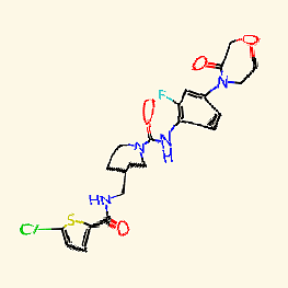 O=C(NC[C@H]1CCN(C(=O)Nc2ccc(N3CCOCC3=O)cc2F)C1)c1ccc(Cl)s1